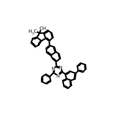 CC1(C)c2ccccc2-c2c(-c3ccc4cc(-c5nc(-c6ccccc6)nc(-c6cc(-c7ccccc7)cc7ccccc67)n5)ccc4c3)cccc21